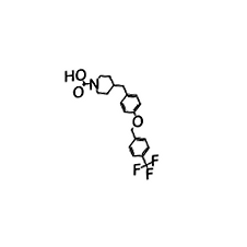 O=C(O)N1CCC(Cc2ccc(OCc3ccc(C(F)(F)F)cc3)cc2)CC1